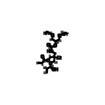 C=CC(=O)OCC(CC)(CNC(=O)OC(COCCC)COCCC)COC(O)C=C